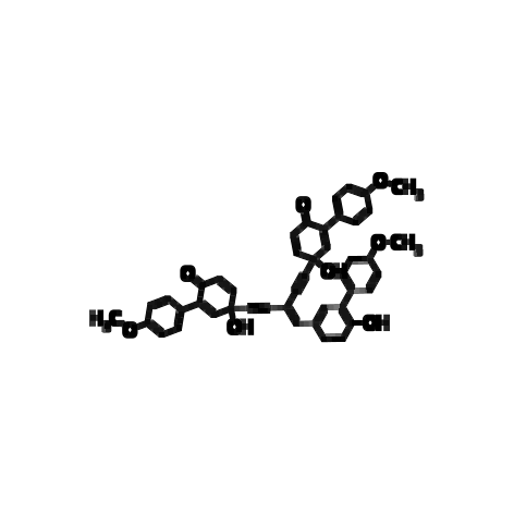 COc1ccc(C2=CC(O)(C#CC(C#CC3(O)C=CC(=O)C(c4ccc(OC)cc4)=C3)=Cc3ccc(O)c(-c4ccc(OC)cc4)c3)C=CC2=O)cc1